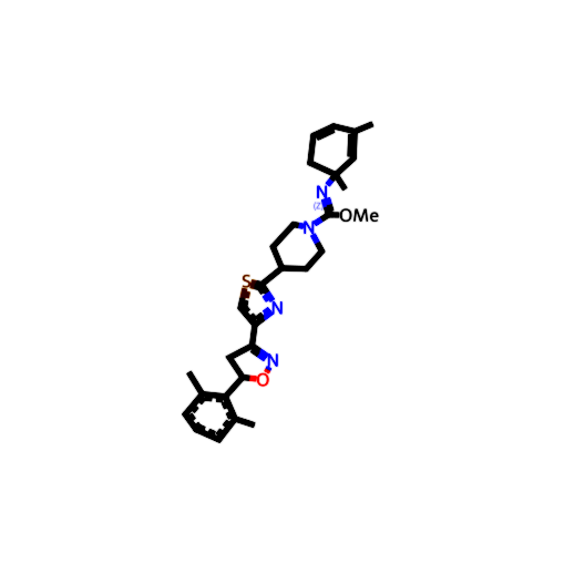 CO/C(=N\C1(C)C=C(C)C=CC1)N1CCC(c2nc(C3=NOC(c4c(C)cccc4C)C3)cs2)CC1